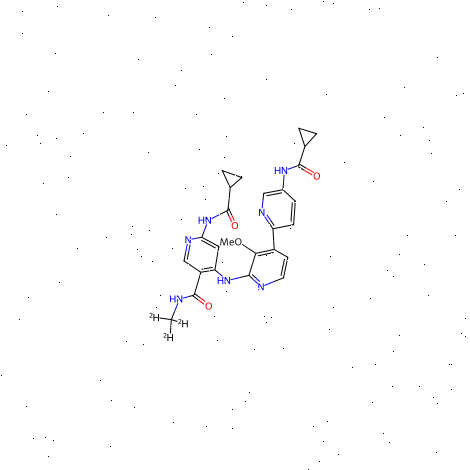 [2H]C([2H])([2H])NC(=O)c1cnc(NC(=O)C2CC2)cc1Nc1nccc(-c2ccc(NC(=O)C3CC3)cn2)c1OC